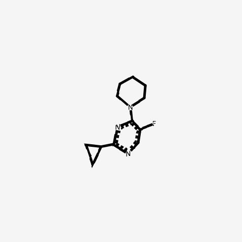 Fc1cnc(C2CC2)nc1N1CCCCC1